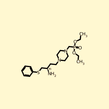 CCOP(=O)(CN1CCN(CC[C@@H](N)CSc2ccccc2)CC1)OCC